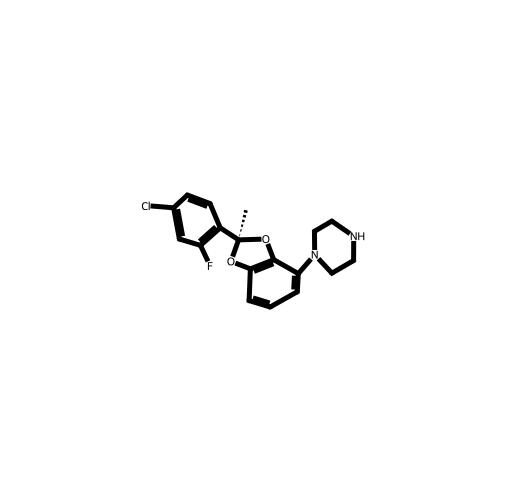 C[C@@]1(c2ccc(Cl)cc2F)Oc2cccc(N3CCNCC3)c2O1